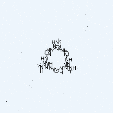 CC(C)(C)Nc1nc2nc(n1)[nH]c1cccc(n1)[nH]c1nc(NC(C)(C)C)nc(n1)[nH]c1cccc(n1)[nH]c1nc(NC(C)(C)C)nc(n1)[nH]c1cccc(n1)[nH]2